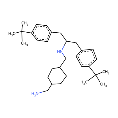 CC(C)(C)c1ccc(CC(Cc2ccc(C(C)(C)C)cc2)NCC2CCC(CN)CC2)cc1